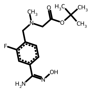 CN(CC(=O)OC(C)(C)C)Cc1ccc(/C(N)=N\O)cc1F